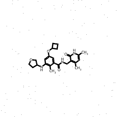 Cc1cc(C)c(CNC(=O)c2cc(OC3CCC3)cc(NC3CCOC3)c2C)c(=O)[nH]1